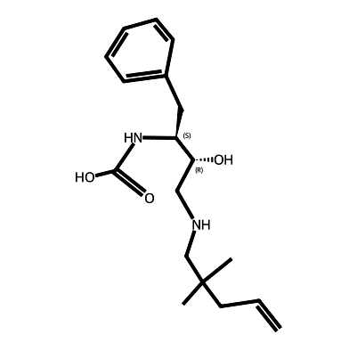 C=CCC(C)(C)CNC[C@@H](O)[C@H](Cc1ccccc1)NC(=O)O